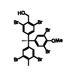 COc1c(Br)cc([C@@](C)(c2cc(Br)c(C)c(Br)c2)c2cc(Br)c(CO)c(Br)c2)cc1Br